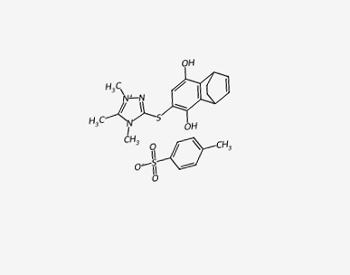 Cc1ccc(S(=O)(=O)[O-])cc1.Cc1n(C)c(Sc2cc(O)c3c(c2O)C2C=CC3CC2)n[n+]1C